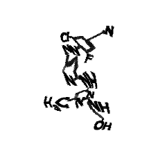 Cc1cc(Nc2cc3c(cn2)cnn3-c2c(F)cc(C#N)cc2Cl)nc(NCCO)n1